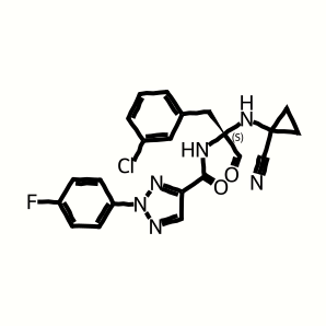 N#CC1(N[C@@](C=O)(Cc2cccc(Cl)c2)NC(=O)c2cnn(-c3ccc(F)cc3)n2)CC1